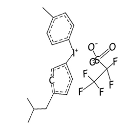 Cc1ccc([I+]c2ccc(CC(C)C)cc2)cc1.O=S(=O)([O-])C(F)(F)C(F)(F)F